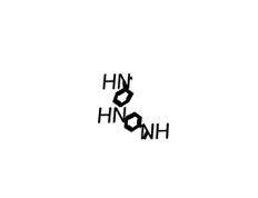 CNc1ccc(Nc2ccc(NC)cc2)cc1